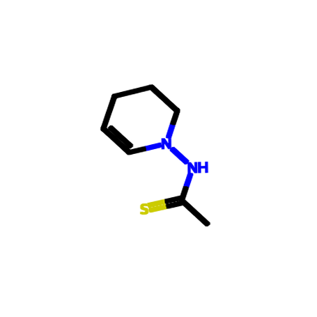 CC(=S)NN1C=CCCC1